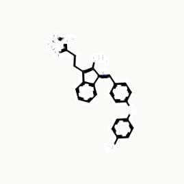 CC1=C(CCc2nnn[nH]2)c2ccccc2/C1=C\c1ccc(Oc2ccc(Br)cc2)cc1